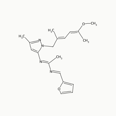 CO/C(C)=C/C=C(\C)Cn1nc(C)cc1/N=C(C)/N=C/c1ccco1